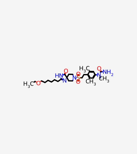 CCOCCCCCCC1=NC2(CCN(S(=O)(=O)CCc3c(C)cc(N(C)C(N)=O)cc3C)CC2)C(=O)N1